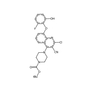 CC(C)(C)OC(=O)N1CCN(c2c(C#N)c(Cl)nc3c(Oc4c(O)cccc4F)cccc23)CC1